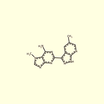 Cc1cnc2[nH]nc(-c3nc(N)c4c(ncn4C)n3)c2c1